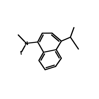 CC(C)c1ccc(N(C)I)c2ccccc12